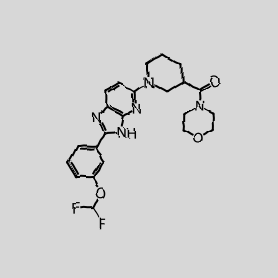 O=C(C1CCCN(c2ccc3nc(-c4cccc(OC(F)F)c4)[nH]c3n2)C1)N1CCOCC1